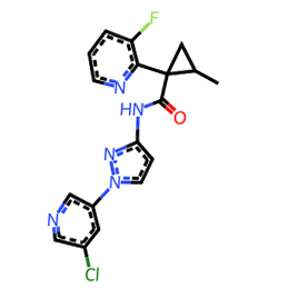 CC1CC1(C(=O)Nc1ccn(-c2cncc(Cl)c2)n1)c1ncccc1F